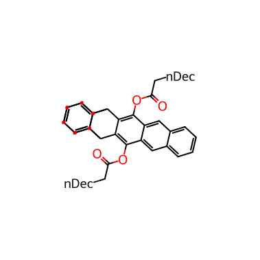 CCCCCCCCCCCC(=O)Oc1c2c(c(OC(=O)CCCCCCCCCCC)c3cc4ccccc4cc13)C1c3ccccc3C2c2ccccc21